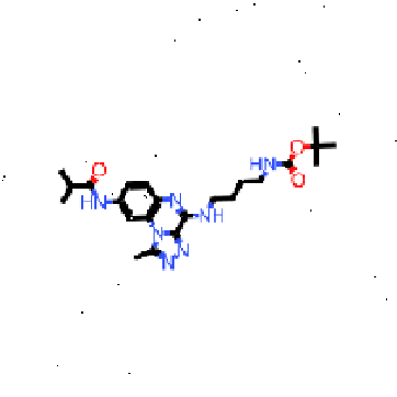 Cc1nnc2c(NCCCCNC(=O)OC(C)(C)C)nc3ccc(NC(=O)C(C)C)cc3n12